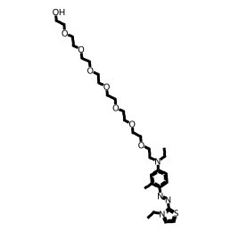 CCN(CCOCCOCCOCCOCCOCCOCCOCCO)c1ccc(/N=N/c2scc[n+]2CC)c(C)c1